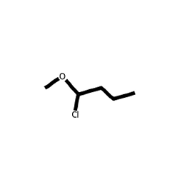 CCCC(Cl)OC